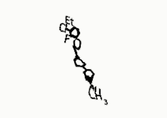 CCc1ccc(OCC2CCC(C3CCC(C)CC3)CC2)c(F)c1Cl